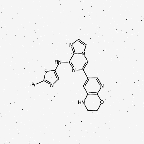 CC(C)c1ncc(Nc2nc(-c3cnc4c(c3)NCCO4)cn3ccnc23)s1